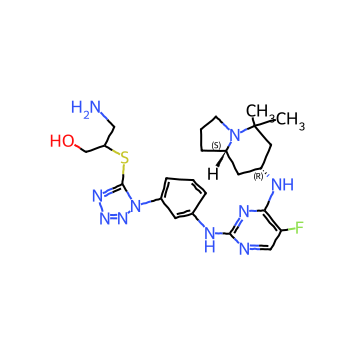 CC1(C)C[C@H](Nc2nc(Nc3cccc(-n4nnnc4SC(CN)CO)c3)ncc2F)C[C@@H]2CCCN21